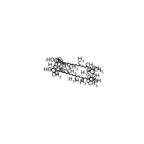 CC(/C=C/C=C(C)/C=C/C12OC1(C)CC(O)CC2(C)C)=C\C=C\C=C(C)\C=C\C=C(/C)C1C=C2C(C)(C)CC(O)CC2(C)O1.CC(/C=C/C=C(C)/C=C/[C@@]12O[C@]1(C)C[C@@H](O)CC2(C)C)=C\C=C\C=C(C)\C=C\C=C(C)\C=C\[C@@]12O[C@]1(C)C[C@@H](O)CC2(C)C